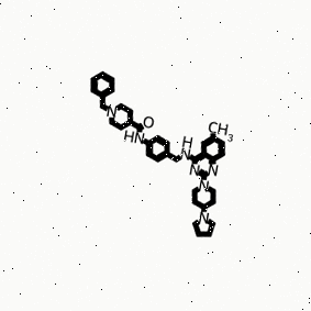 Cc1ccc2nc(N3CCC(N4CCCC4)CC3)nc(NCc3ccc(NC(=O)C4CCN(Cc5ccccc5)CC4)cc3)c2c1